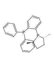 C[C@@H]1CC[C@@H](C)P1c1ccccc1P(c1ccccc1)c1ccccc1